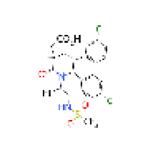 CCC(CNS(=O)(=O)C(F)(F)F)N1C(=O)C(C)(CC(=O)O)CC(c2cccc(Cl)c2)C1c1ccc(Cl)cc1